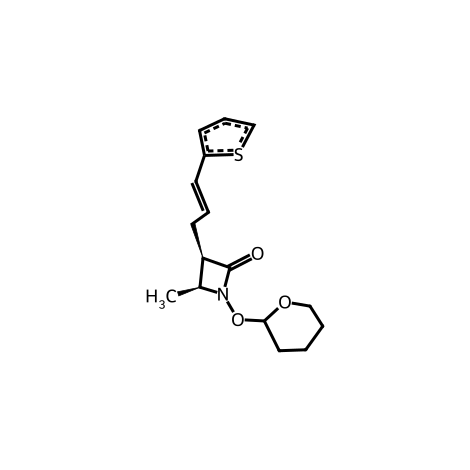 C[C@H]1[C@@H](CC=Cc2cccs2)C(=O)N1OC1CCCCO1